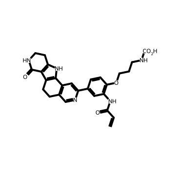 C=CC(=O)Nc1cc(-c2cc3c(cn2)CCc2c-3[nH]c3c2C(=O)NCC3)ccc1OCCCNC(=O)O